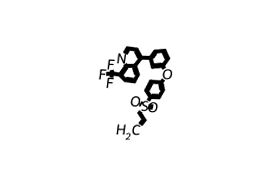 C=CCS(=O)(=O)c1ccc(Oc2cccc(-c3ccnc4c(C(F)(F)F)cccc34)c2)cc1